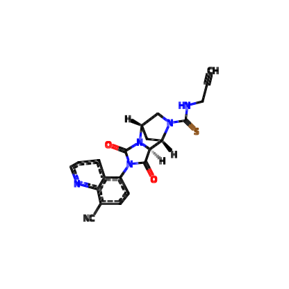 C#CCNC(=S)N1C[C@@H]2C[C@H]1[C@H]1C(=O)N(c3ccc(C#N)c4ncccc34)C(=O)N21